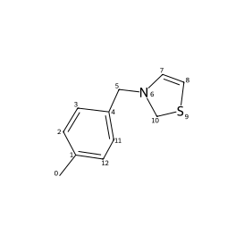 Cc1ccc(CN2C=CSC2)cc1